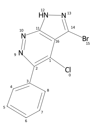 Clc1c(-c2ccccc2)nnc2[nH]nc(Br)c12